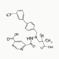 C[C@@](O)(CN(Cc1ccc(-c2cccc(Cl)c2)cc1)NC(=O)c1cc(C(=O)O)ncn1)C(=O)O